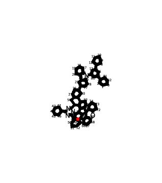 c1ccc(-c2cc(-c3ccccc3)cc(-n3c4ccccc4c4cc(-c5ccc6c(c5)-c5ccc7c(c5C(c5nc(-c8ccccc8)nc(-c8ccccc8)n5)C6)-c5ccccc5C75c6ccccc6Oc6ccccc65)ccc43)c2)cc1